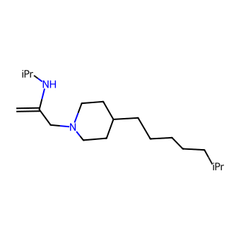 C=C(CN1CCC(CCCCCC(C)C)CC1)NC(C)C